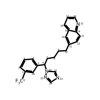 FC(F)(F)c1cccc(C(CCCCc2ccc3ncccc3c2)n2cncn2)c1